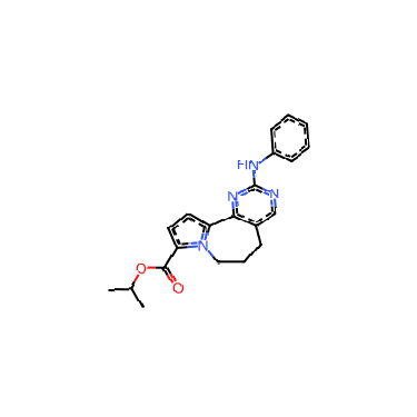 CC(C)OC(=O)c1ccc2n1CCCc1cnc(Nc3ccccc3)nc1-2